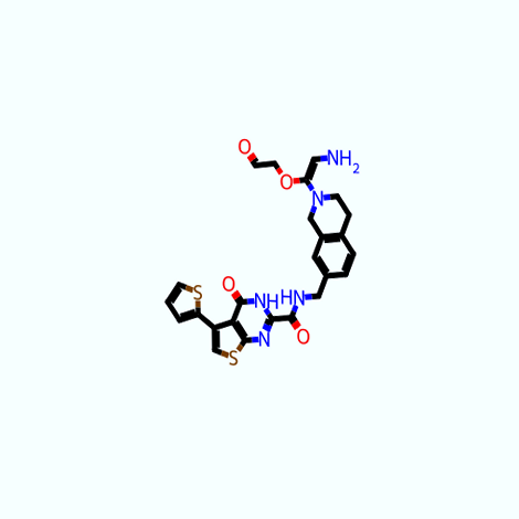 N/C=C(/OCC=O)N1CCc2ccc(CNC(=O)c3nc4scc(-c5cccs5)c4c(=O)[nH]3)cc2C1